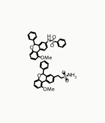 COc1cccc2c1-c1ccc(CCS(N)(=O)=O)cc1C(c1ccccc1)O2.COc1cccc2c1-c1ccc(NS(=O)(=O)c3ccccc3)cc1C(c1ccccc1)O2